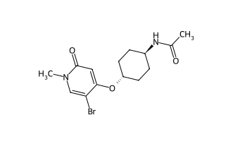 CC(=O)N[C@H]1CC[C@H](Oc2cc(=O)n(C)cc2Br)CC1